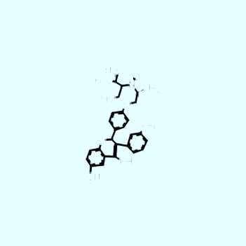 CC1=C(c2cccc(O)c2)C(c2ccc(OC[C@H](C)N(C)C(CO)C(C)C)cc2)Oc2ccc(O)cc21